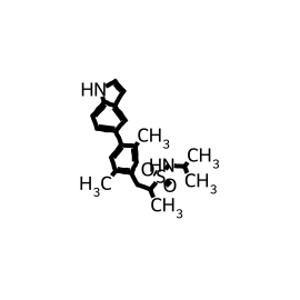 Cc1cc(-c2ccc3[nH]ccc3c2)c(C)cc1CC(C)S(=O)(=O)NC(C)C